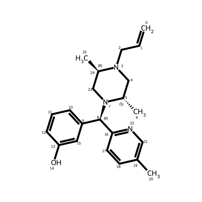 C=CCN1C[C@H](C)N([C@H](c2cccc(O)c2)c2ccc(C)cn2)C[C@H]1C